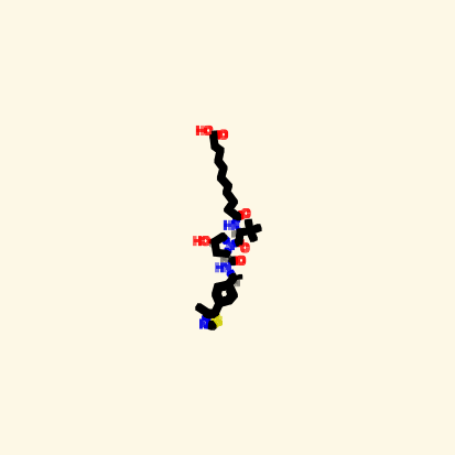 Cc1ncsc1-c1ccc([C@H](C)NC(=O)[C@@H]2C[C@@H](O)CN2C(=O)[C@@H](NC(=O)CCCCCCCCCC(=O)O)C(C)(C)C)cc1